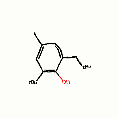 Cc1cc(CC(C)(C)C)c(O)c(C(C)(C)C)c1